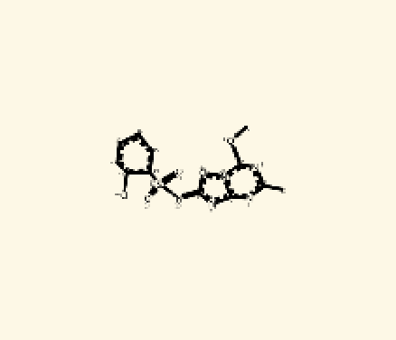 COc1nc(C)nc2nc(=NS(=O)(=O)c3ccccc3Cl)on12